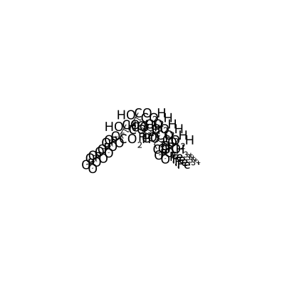 O=C(O)CC(O)(CC(=O)O)C(=O)O.O=C(O)CC(O)(CC(=O)O)C(=O)O.O=C(O)CC(O)(CC(=O)O)C(=O)O.O=C(O)CC(O)(CC(=O)O)C(=O)O.O=P([O-])([O-])OP(=O)([O-])[O-].O=P([O-])([O-])OP(=O)([O-])[O-].O=P([O-])([O-])OP(=O)([O-])[O-].[Fe+3].[Fe+3].[Fe+3].[Fe+3]